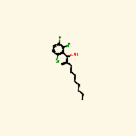 C=C(CCCCCCCC)C(O)c1c(Br)ccc(F)c1F